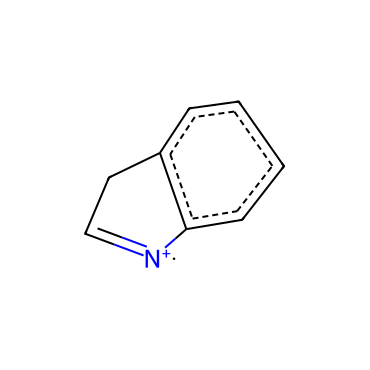 C1=[N+]c2ccccc2C1